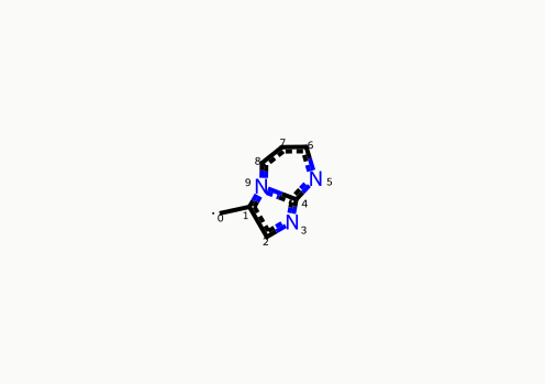 [CH2]c1cnc2ncccn12